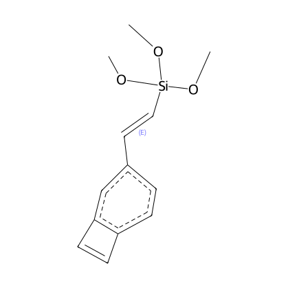 CO[Si](/C=C/c1ccc2c(c1)C=C2)(OC)OC